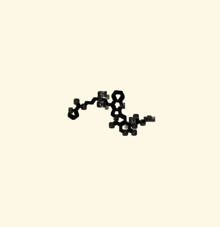 CCCCOC(=O)O[C@]1(CC)C(=O)OCc2c1cc1n(c2=O)Cc2c-1nc1ccccc1c2CC[Si](C)(C)CCCOC(=O)c1cccs1